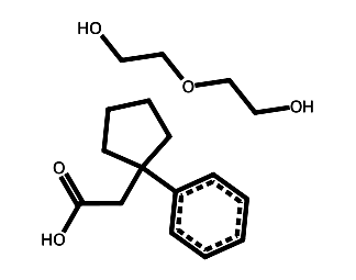 O=C(O)CC1(c2ccccc2)CCCC1.OCCOCCO